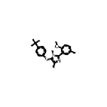 COc1ccc(C)cc1-c1nc(C)c(Sc2ccc(C(C)(C)C)cc2)n1C